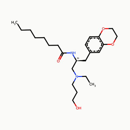 CCCCCCCC(=O)N[C@@H](Cc1ccc2c(c1)OCCO2)CN(CC)CCCO